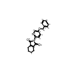 O=C1C2=C(CCCC2)C(=O)N1c1ccc(OCc2ccccc2)cn1